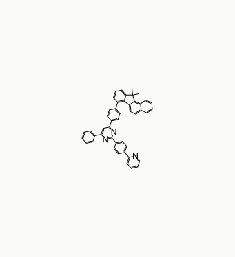 CC1(C)c2cccc(-c3ccc(-c4cc(-c5ccccc5)nc(-c5ccc(-c6ccccn6)cc5)n4)cc3)c2-c2ccc3ccccc3c21